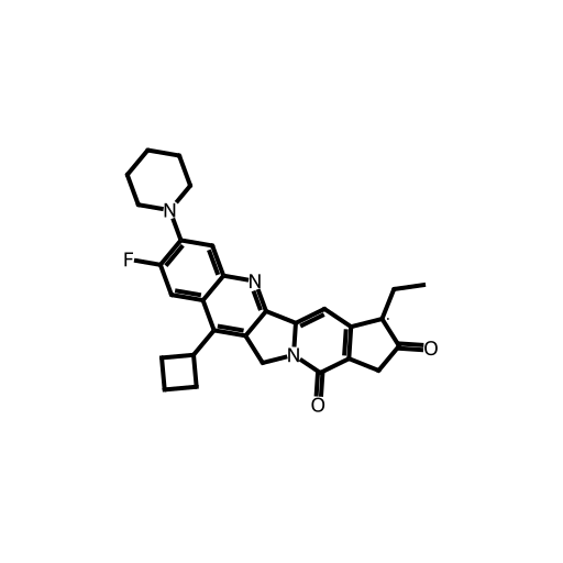 CC[C]1C(=O)Cc2c1cc1n(c2=O)Cc2c-1nc1cc(N3CCCCC3)c(F)cc1c2C1CCC1